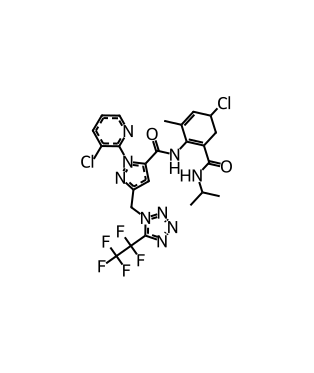 CC1=CC(Cl)CC(C(=O)NC(C)C)=C1NC(=O)c1cc(Cn2nnnc2C(F)(F)C(F)(F)F)nn1-c1ncccc1Cl